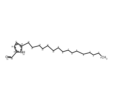 CCCCCCCCCCCCCCCCc1ccc(C=O)[nH]1